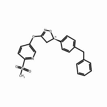 CS(=O)(=O)c1ccc(OC2=NO[C@@H](c3ccc(Cc4ccccc4)cc3)C2)cn1